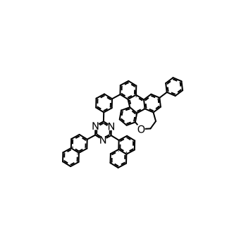 c1ccc(-c2cc3c4c(c2)c2cccc(-c5cccc(-c6nc(-c7ccc8ccccc8c7)nc(-c7cccc8ccccc78)n6)c5)c2c2cccc(c24)OCC3)cc1